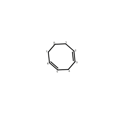 [CH]1CC=CCC=CC1